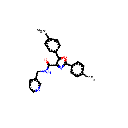 CSc1ccc(-c2oc(-c3ccc(C(F)(F)F)cc3)nc2C(=O)NCc2cccnc2)cc1